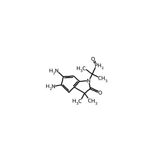 CC1(C)C(=O)N(C(C)(C)[PH2]=O)c2cc(N)c(N)cc21